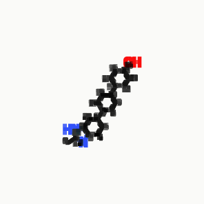 Cc1nc2ccc(-c3ccc(-c4ccc(O)cc4)cc3)cc2[nH]1